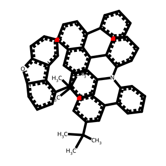 CC(C)(C)c1cc(-c2ccccc2N(c2ccc(-c3cccc4oc5ccccc5c34)cc2)c2ccccc2-c2cccc3cccc(-c4ccccc4)c23)cc(C(C)(C)C)c1